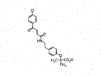 CC(C)(Oc1ccc(CCNC(=O)C=CC(=O)c2ccc(Cl)cc2)cc1)C(=O)O